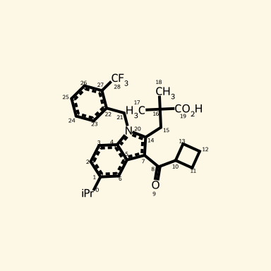 CC(C)c1ccc2c(c1)c(C(=O)C1CCC1)c(CC(C)(C)C(=O)O)n2Cc1ccccc1C(F)(F)F